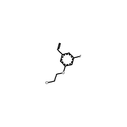 C=[C]c1cc(F)cc(OCCCl)c1